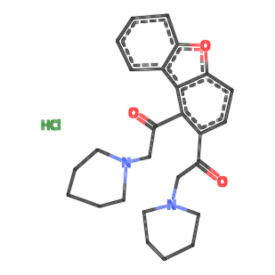 Cl.O=C(CN1CCCCC1)c1ccc2oc3ccccc3c2c1C(=O)CN1CCCCC1